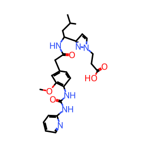 COc1cc(CC(=O)NC(CC(C)C)c2ccn(CCC(=O)O)n2)ccc1NC(=O)Nc1ccccn1